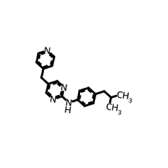 CC(C)Cc1ccc(Nc2ncc(Cc3ccncc3)cn2)cc1